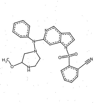 COC1CN(N(c2ccccc2)c2cc3c(ccn3S(=O)(=O)c3ccccc3C#N)cn2)CCN1